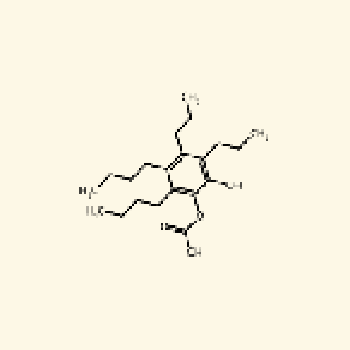 CCCCc1c(CCC)c(CCC)c(O)c(OC(=O)O)c1CCCC